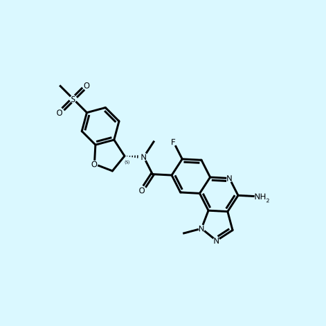 CN(C(=O)c1cc2c(cc1F)nc(N)c1cnn(C)c12)[C@@H]1COc2cc(S(C)(=O)=O)ccc21